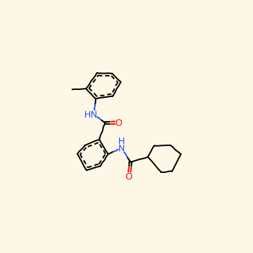 Cc1ccccc1NC(=O)c1ccccc1NC(=O)C1CCCCC1